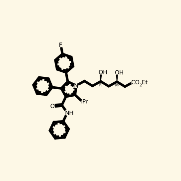 CCOC(=O)C[C@H](O)C[C@H](O)CCn1c(-c2ccc(F)cc2)c(-c2ccccc2)c(C(=O)Nc2ccccc2)c1C(C)C